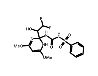 COC1=CC(OC)=NC(NC(=O)NS(=O)(=O)c2ccccc2)(C(O)C(F)F)N1